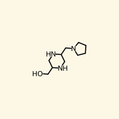 OCC1CNC(CN2CCCC2)CN1